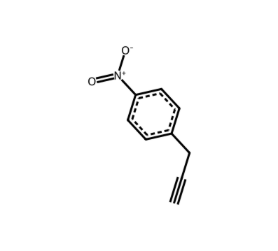 C#CCc1ccc([N+](=O)[O-])cc1